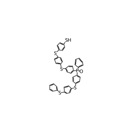 O=P(c1ccccc1)(c1ccc(Sc2ccc(Sc3ccccc3)cc2)cc1)c1ccc(Sc2ccc(Sc3ccc(S)cc3)cc2)cc1